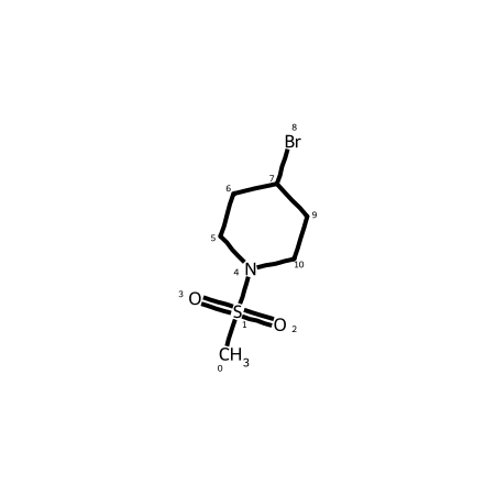 CS(=O)(=O)N1CCC(Br)CC1